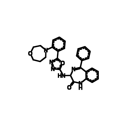 O=C1Nc2ccccc2C(c2ccccc2)=NC1Nc1nnc(-c2ccccc2N2CCCOCC2)o1